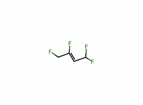 FCC(F)=CC(F)F